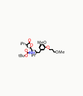 COCCCOc1cc(C[C@H](C[C@H](NC(=O)OC(C)(C)C)[C@@H]2C[C@@H](C(C)C)C(=O)O2)C(C)C)cc(OC)c1